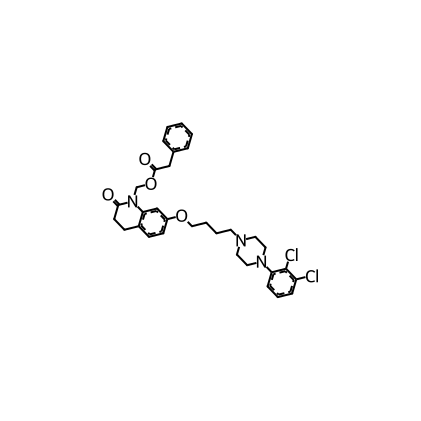 O=C(Cc1ccccc1)OCN1C(=O)CCc2ccc(OCCCCN3CCN(c4cccc(Cl)c4Cl)CC3)cc21